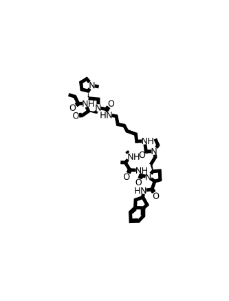 CCC(=O)N[C@H](C=O)CN(CC[C@@H]1CCCN1C)C(=O)NCCCCCCNC(=O)N(CC)CC[C@H]1CCC(C(=O)NC2Cc3ccccc3C2)N1C(=O)NC(=O)C(C)NC